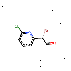 O=C[C@@H](Br)c1cccc(Cl)n1